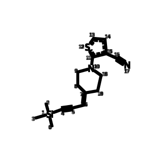 C[Si](C)(C)C#CC=C1CCN(c2sccc2C#N)CC1